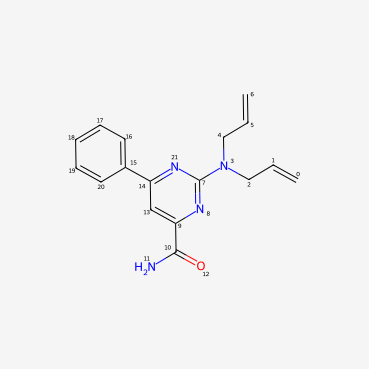 C=CCN(CC=C)c1nc(C(N)=O)cc(-c2ccccc2)n1